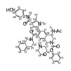 CC(=O)N(C)C1CN(C(=O)Oc2ccccc2)Cc2cc(C(=O)N3Cc4ccccc4C[C@H]3CN3CCOCC3)c(-c3cc(C(=O)N(C)c4ccc(O)cc4)c(C)n3C)cc21